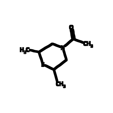 CC(=O)N1CC(C)SC(C)C1